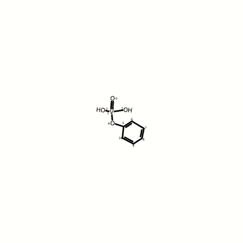 [O]=[V]([OH])([OH])[O]c1ccccc1